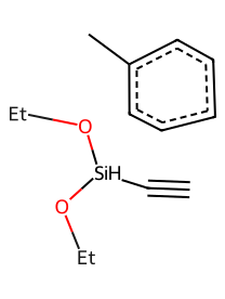 C#C[SiH](OCC)OCC.Cc1ccccc1